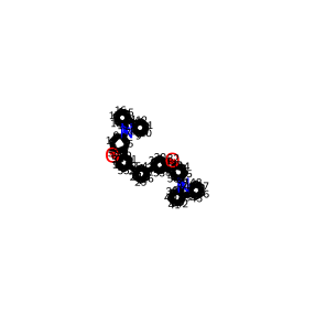 C1=CC2C=C(C=C1n1c3ccccc3c3ccccc31)c1cc(-c3cccc(-c4ccc5oc6ccc(-n7c8ccccc8c8ccccc87)cc6c5c4)c3)ccc1O2